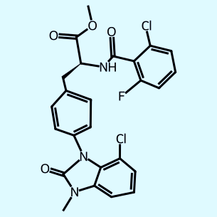 COC(=O)[C@H](Cc1ccc(-n2c(=O)n(C)c3cccc(Cl)c32)cc1)NC(=O)c1c(F)cccc1Cl